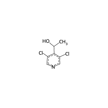 CC(O)c1c(Cl)cncc1Cl